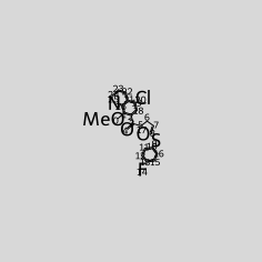 COc1c(C(=O)C2CC=C(Sc3ccc(F)cc3)O2)cc(Cl)c2cccnc12